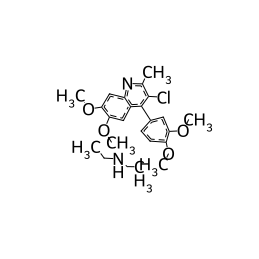 CCNCC.COc1ccc(-c2c(Cl)c(C)nc3cc(OC)c(OC)cc23)cc1OC